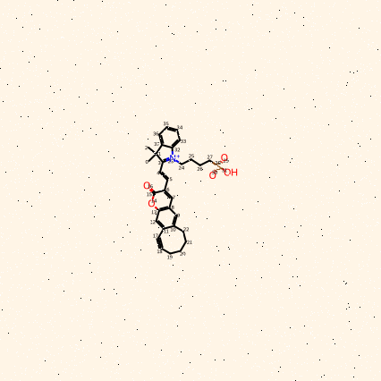 CC1(C)C(/C=C/c2cc3cc4c(cc3oc2=O)C#CCCCC4)=[N+](CCCCS(=O)(=O)O)c2ccccc21